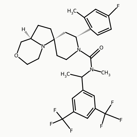 Cc1cc(F)ccc1[C@H]1C[C@]2(CC[C@@H]3COCCN32)CCN1C(=O)N(C)C(C)c1cc(C(F)(F)F)cc(C(F)(F)F)c1